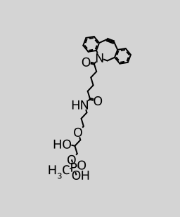 CP(=O)(O)OCC(O)COCCCNC(=O)CCCCC(=O)N1Cc2ccccc2C#Cc2ccccc21